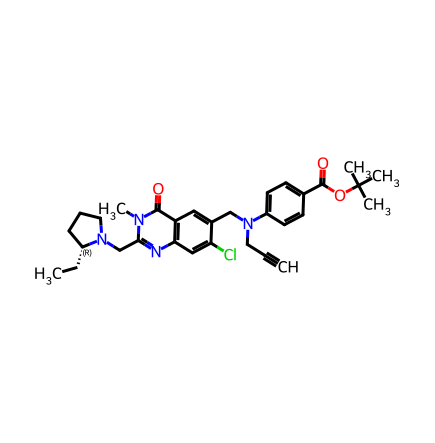 C#CCN(Cc1cc2c(=O)n(C)c(CN3CCC[C@H]3CC)nc2cc1Cl)c1ccc(C(=O)OC(C)(C)C)cc1